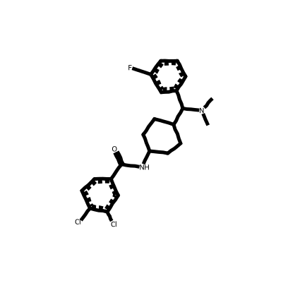 CN(C)C(c1cccc(F)c1)C1CCC(NC(=O)c2ccc(Cl)c(Cl)c2)CC1